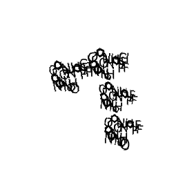 O=C(Nc1cccc(Oc2ccc3ncc(N4CCCC4)nc3c2)c1)Nc1ccc(Cl)c(C(F)(F)F)c1.O=C(Nc1cccc(Oc2ccc3ncc(N4CCCC4)nc3c2)c1)Nc1cccc(C(F)(F)F)c1.O=C(Nc1cccc(Oc2ccc3ncc(N4CCOCC4)nc3c2)c1)Nc1ccc(Cl)c(C(F)(F)F)c1.O=C(Nc1cccc(Oc2ccc3ncc(N4CCOCC4)nc3c2)c1)Nc1cccc(C(F)(F)F)c1